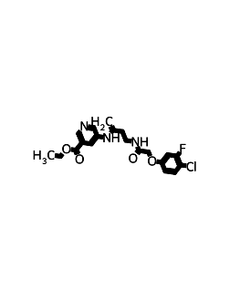 C=C(CCNC(=O)COc1ccc(Cl)c(F)c1)Nc1cncc(C(=O)OCC)c1